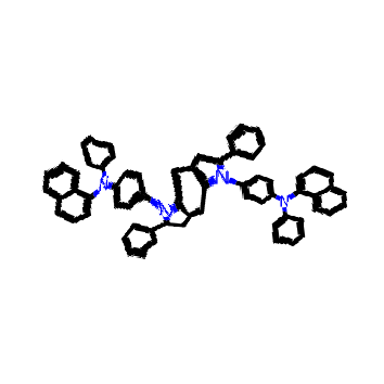 c1ccc(-c2cc3cc4c(cc3n2-c2ccc(N(c3ccccc3)c3cccc5ccccc35)cc2)CC(c2ccccc2)N4c2ccc(N(c3ccccc3)c3cccc4ccccc34)cc2)cc1